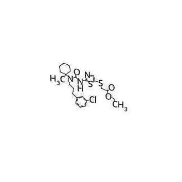 CCOC(=O)CSc1cnc(NC(=O)N(CCCc2cccc(Cl)c2)C2(C)CCCCC2)s1